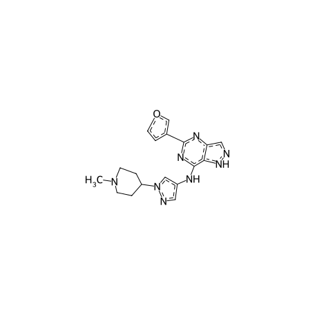 CN1CCC(n2cc(Nc3nc(-c4ccoc4)nc4cn[nH]c34)cn2)CC1